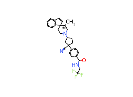 C[C@H]1CN(C2CCC(C#N)(c3ccc(C(=O)NCC(F)(F)F)cc3)C2)CCC12C=Cc1ccccc12